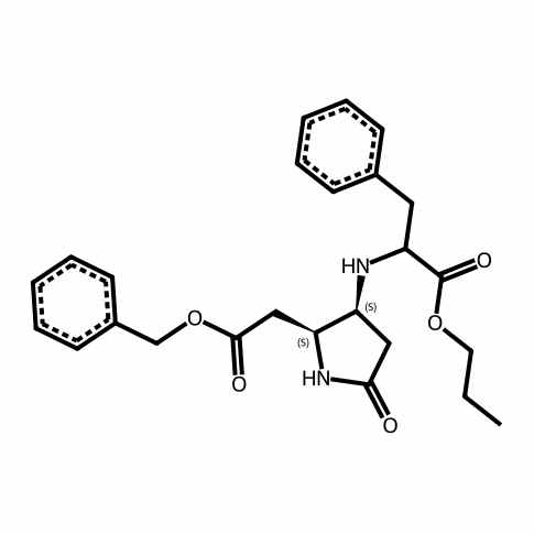 CCCOC(=O)C(Cc1ccccc1)N[C@H]1CC(=O)N[C@H]1CC(=O)OCc1ccccc1